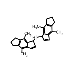 Cc1c2c(c(C)c3c1CCC3)[CH]([Hf][CH]1C=Cc3c(C)c4c(c(C)c31)CCC4)C=C2